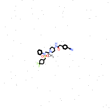 C[C@H](CN(c1ccccc1)S(=O)(=O)CC1CCC(F)(F)CC1)N1CCC(NC(=O)Cc2ccc(C#N)cc2)CC1